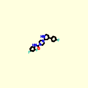 O=C(Nc1ccc(F)cc1F)N1CCN(C2CC(c3ccc(F)cc3)=CCN2)CC1